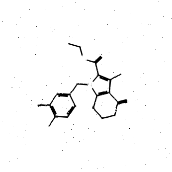 CCOC(=O)c1c(C)c2c(n1Cc1ccc(Cl)c(Cl)c1)CCCC2=O